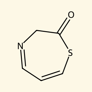 O=C1CN=CC=CS1